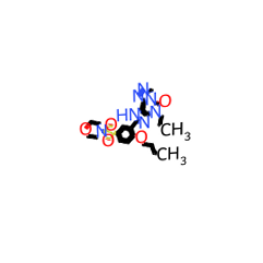 CCCCOc1ccc(S(=O)(=O)N2CCOCC2)cc1-c1nc2c([nH]1)c1nncn1c(=O)n2CCC